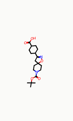 CC(C)(C)OC(=O)N1CCC2(CC1)CC(C1CCC(C(=O)O)CC1)=NO2